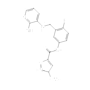 COC1C=C(C(=O)Nc2ccc(F)c(CNc3cccnc3N)c2)ON1